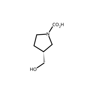 O=C(O)N1CC[C@@H](CO)C1